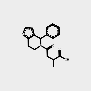 CC(CC(=O)N1CCc2sccc2C1c1ccccc1)C(=O)O